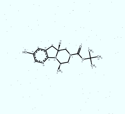 C[C@@H]1CN(C(=O)OC(C)(C)C)C[C@H]2Cc3cc(O)cnc3N21